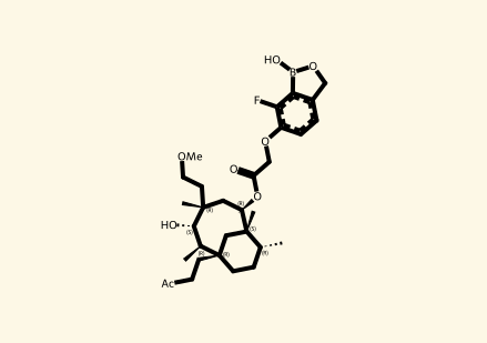 COCC[C@]1(C)C[C@@H](OC(=O)COc2ccc3c(c2F)B(O)OC3)[C@@]2(C)C[C@](CCC(C)=O)(CC[C@H]2C)[C@@H](C)[C@@H]1O